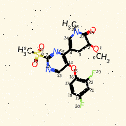 COC1CC(c2nc(S(C)(=O)=O)ncc2Oc2ccc(F)cc2F)=CN(C)C1=O